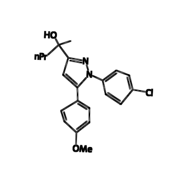 CCCC(C)(O)c1cc(-c2ccc(OC)cc2)n(-c2ccc(Cl)cc2)n1